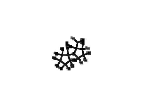 [2H]C([2H])C1([2H])N(C2(C#N)C([2H])([2H])C([2H])([2H])C([2H])([2H])C2([2H])[2H])C([2H])([2H])C([2H])([2H])C1([2H])[2H]